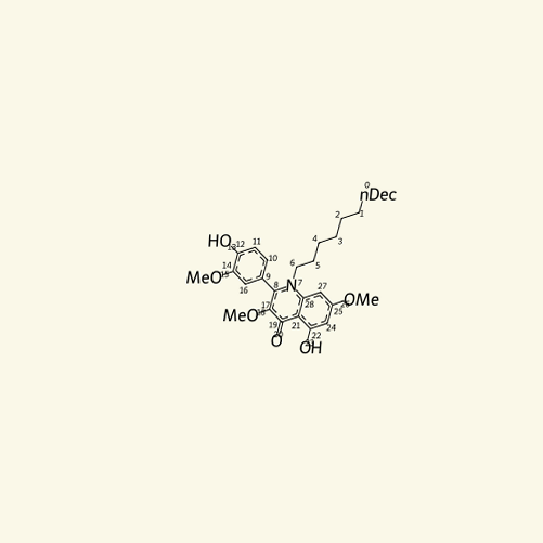 CCCCCCCCCCCCCCCCn1c(-c2ccc(O)c(OC)c2)c(OC)c(=O)c2c(O)cc(OC)cc21